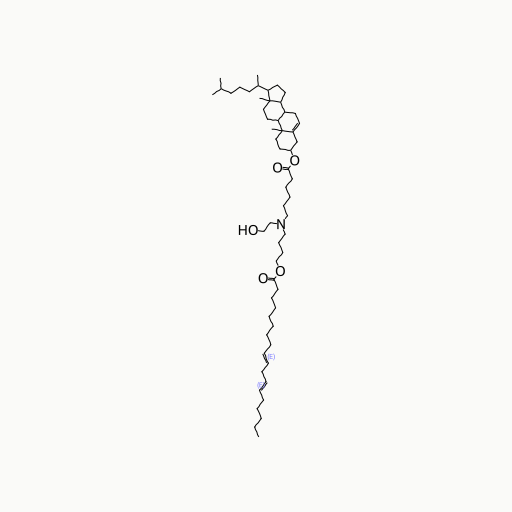 CCCCC/C=C/C/C=C/CCCCCCCC(=O)OCCCCN(CCO)CCCCCC(=O)OC1CCC2(C)C(=CCC3C2CCC2(C)C(C(C)CCCC(C)C)CCC32)C1